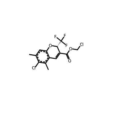 Cc1cc2c(c(C)c1Cl)C=C(C(=O)OCCl)[C@@H](C(F)(F)F)O2